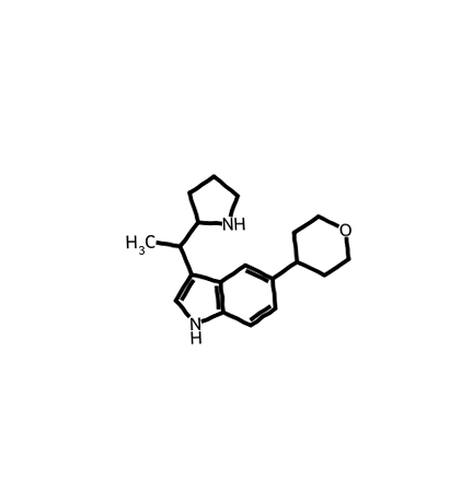 CC(c1c[nH]c2ccc(C3CCOCC3)cc12)C1CCCN1